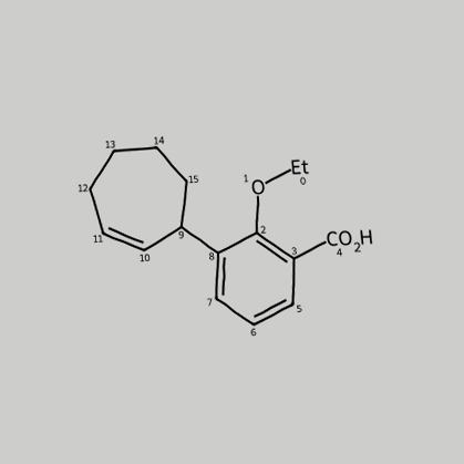 CCOc1c(C(=O)O)cccc1C1C=CCCCC1